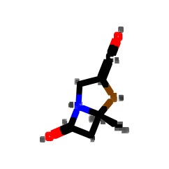 O=C=C1CN2C(=O)C[C@H]2S1